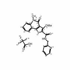 COc1c(C(=O)NCc2ccccn2)sc2c1c(=O)n(C)c1ccccc21.O=C(O)C(F)(F)F